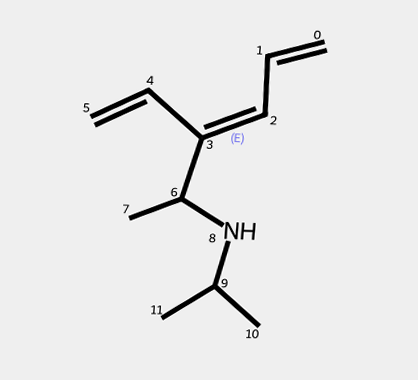 C=C/C=C(\C=C)C(C)NC(C)C